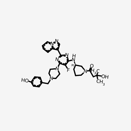 CC(C)(O)CC(=O)N1CCC[C@@H](Nc2nc(-c3cnn4ccccc34)nc(N3CCN(Cc4ccc(O)cc4)CC3)c2F)C1